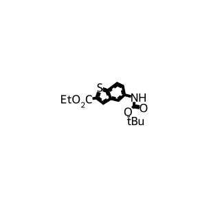 CCOC(=O)c1cc2cc(NC(=O)OC(C)(C)C)ccc2s1